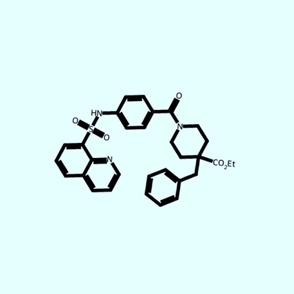 CCOC(=O)C1(Cc2ccccc2)CCN(C(=O)c2ccc(NS(=O)(=O)c3cccc4cccnc34)cc2)CC1